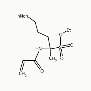 C=CC(=O)NC(C)(CCCCCCCCCCCC)S(=O)(=O)OCC